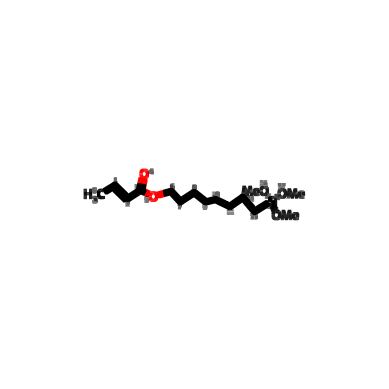 CC=CC(=O)OCCCCCCCC[Si](OC)(OC)OC